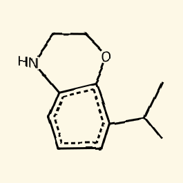 CC(C)c1cccc2c1OCCN2